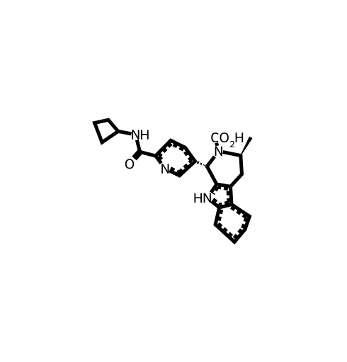 C[C@H]1Cc2c([nH]c3ccccc23)[C@H](c2ccc(C(=O)NC3CCC3)nc2)N1C(=O)O